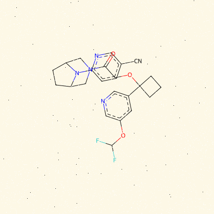 N#Cc1ccc(N2C3CCC2CN(C(=O)COC2(c4cncc(OC(F)F)c4)CCC2)C3)nc1